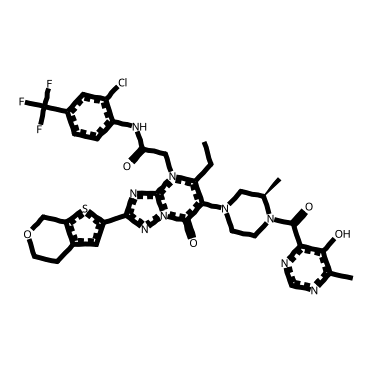 CCc1c(N2CCN(C(=O)c3ncnc(C)c3O)[C@H](C)C2)c(=O)n2nc(-c3cc4c(s3)COCC4)nc2n1CC(=O)Nc1ccc(C(F)(F)F)cc1Cl